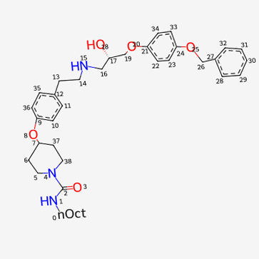 CCCCCCCCNC(=O)N1CCC(Oc2ccc(CCNC[C@H](O)COc3ccc(OCc4ccccc4)cc3)cc2)CC1